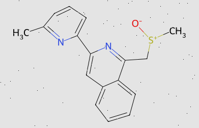 Cc1cccc(-c2cc3ccccc3c(C[S+](C)[O-])n2)n1